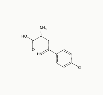 CC(CC(=N)c1ccc(Cl)cc1)C(=O)O